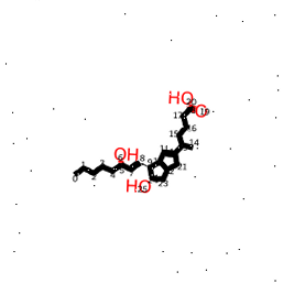 CCCCCC(O)/C=C/[C@@H]1C2C=C(C(C)CCCC(=O)O)CC2C[C@H]1O